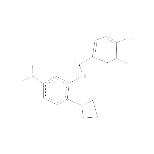 CC1=CC=C(C(=O)Nc2cc(C(F)F)ccc2N2CCC2)CC1I